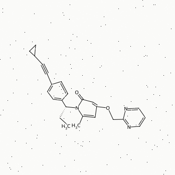 CC[C@H](c1ccc(C#CC2CC2)cc1)n1c(C)cc(OCc2ncccn2)cc1=O